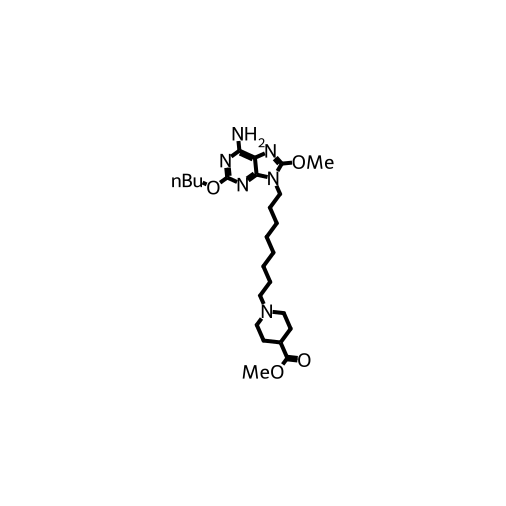 CCCCOc1nc(N)c2nc(OC)n(CCCCCCCCN3CCC(C(=O)OC)CC3)c2n1